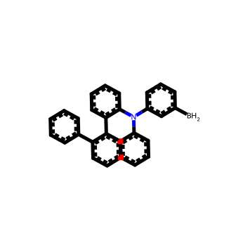 Bc1cccc(N(c2ccccc2)c2ccccc2-c2ccccc2-c2ccccc2)c1